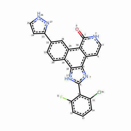 O=c1[nH]ccc2c3nc(-c4c(F)cccc4Cl)[nH]c3c3ccc(-c4cc[nH]n4)cc3c12